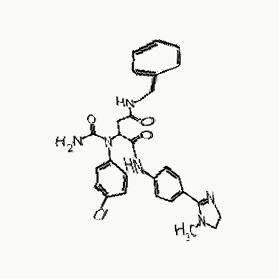 CN1CCN=C1c1ccc(NC(=O)C(CC(=O)NCc2ccccc2)N(C(N)=O)c2ccc(Cl)cc2)cc1